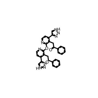 O=C(Cc1c(-c2c[nH]nn2)ccnc1Oc1nccc(-c2c[nH]nn2)c1CC(=O)c1ccccc1)c1ccccc1